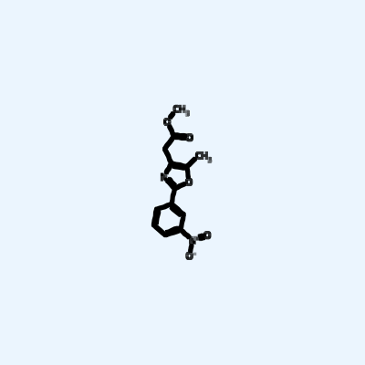 COC(=O)Cc1nc(-c2cccc([N+](=O)[O-])c2)oc1C